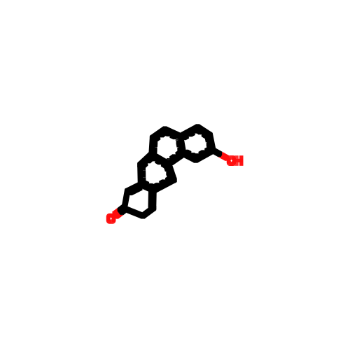 O=C1C=c2cc3ccc4ccc(O)cc4c3cc2=CC1